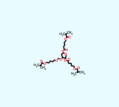 C=C(C)C(=O)OCCCCCOCO[C@H]1CC(OC(=O)CCCCOC(=O)C(=C)C)OC[C@H]1OC(=O)CCCCOC(=O)C(=C)C